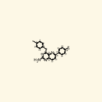 Cc1ccc(Cc2nc(N)nc3ccc(-c4ccc(F)cc4)nc23)cc1